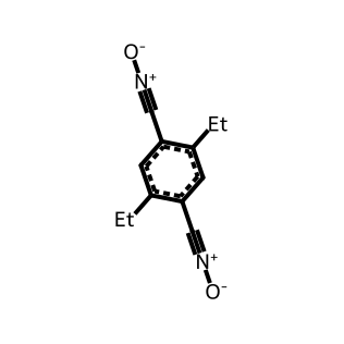 CCc1cc(C#[N+][O-])c(CC)cc1C#[N+][O-]